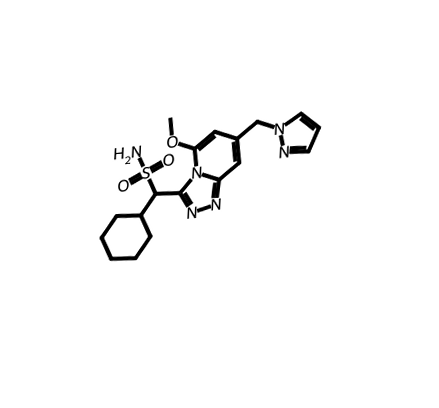 COc1cc(Cn2cccn2)cc2nnc(C(C3CCCCC3)S(N)(=O)=O)n12